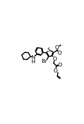 C=CCOC(=O)COc1c(C(=O)OC)sc(-c2cccc(NC3CCCCC3)c2)c1Br